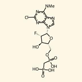 CNc1nc(Cl)nc2c1ncn2[C@@H]1O[C@H](COP(=O)(O)CP(=O)(O)O)[C@@H](O)[C@@H]1F